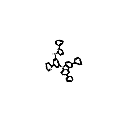 c1ccc(-c2ccc3c(c2)c2cc(-c4ccccc4)ccc2n3-c2cc(Nc3cccc(-c4ccccc4)n3)cc(-c3ccccn3)c2)cc1